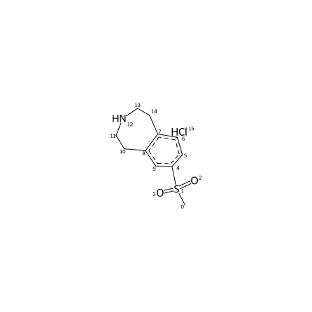 CS(=O)(=O)c1ccc2c(c1)CCNCC2.Cl